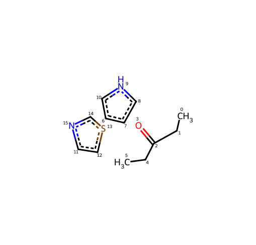 CCC(=O)CC.c1cc[nH]c1.c1cscn1